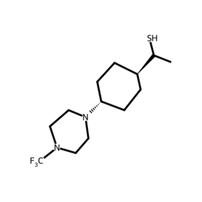 CC(S)[C@H]1CC[C@H](N2CCN(C(F)(F)F)CC2)CC1